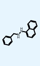 c1ccc(CNNc2cccc3ccccc23)cc1